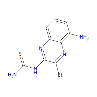 CCc1nc2c(N)cccc2nc1NC(N)=S